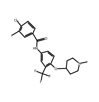 CN1CCC(Oc2ccc(NC(=O)c3ccc(Cl)c(I)c3)cc2C(F)(F)F)CC1